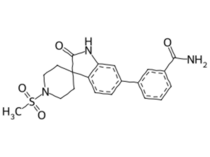 CS(=O)(=O)N1CCC2(CC1)C(=O)Nc1cc(-c3cccc(C(N)=O)c3)ccc12